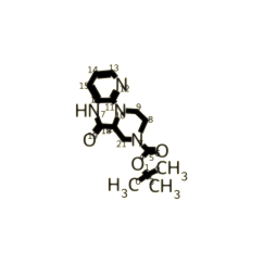 CC(C)(C)OC(=O)N1CCN2c3ncccc3NC(=O)C2C1